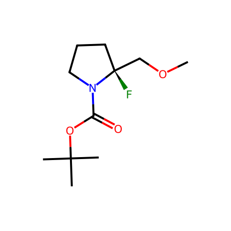 COC[C@@]1(F)CCCN1C(=O)OC(C)(C)C